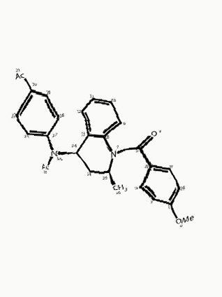 COc1ccc(C(=O)N2c3ccccc3[C@H](N(C(C)=O)c3ccc(C(C)=O)cc3)C[C@@H]2C)cc1